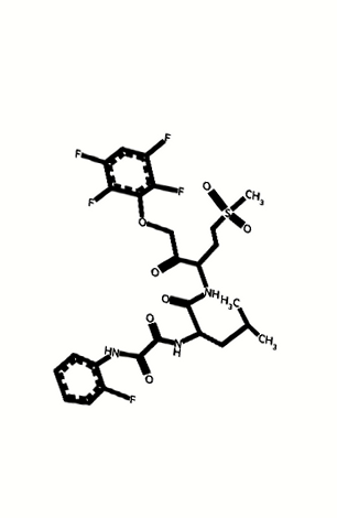 CC(C)CC(NC(=O)C(=O)Nc1ccccc1F)C(=O)NC(CCS(C)(=O)=O)C(=O)COc1c(F)c(F)cc(F)c1F